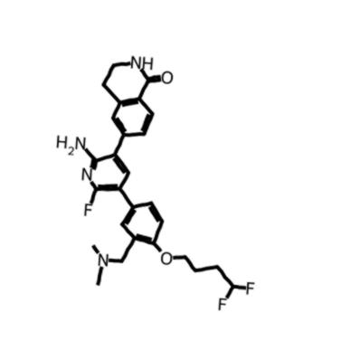 CN(C)Cc1cc(-c2cc(-c3ccc4c(c3)CCNC4=O)c(N)nc2F)ccc1OCCCC(F)F